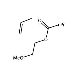 C=CC.CCCC(=O)OCCOC